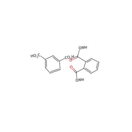 COC(=O)c1ccccc1C(=O)OC.O=C(O)c1cccc(C(=O)O)c1